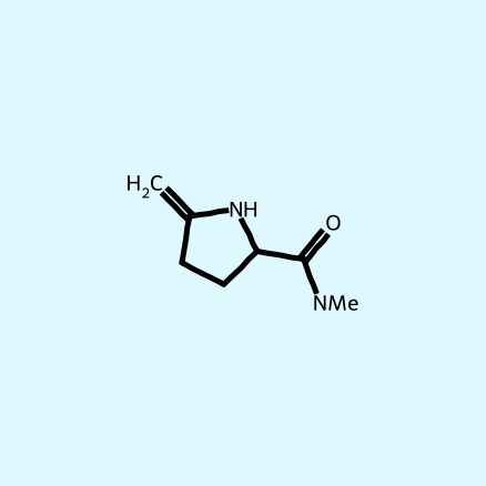 C=C1CCC(C(=O)NC)N1